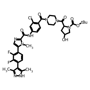 Cc1n[nH]c(C)c1-c1ccc(-c2cnc(C(=O)Nc3ccc(C(=O)N4CCN(C(=O)C5CC(O)CN5C(=O)OC(C)(C)C)CC4)c(Cl)c3)n2C)c(F)c1F